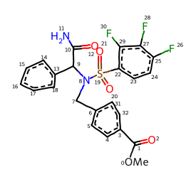 COC(=O)c1ccc(CN(C(C(N)=O)c2ccccc2)S(=O)(=O)c2ccc(F)c(F)c2F)cc1